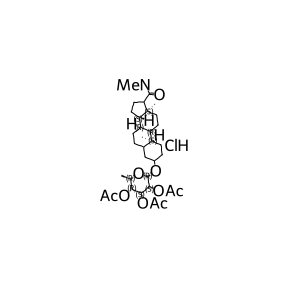 CNC(=O)C1CC[C@H]2[C@@H]3CCC4CC(O[C@@H]5O[C@H](C)[C@@H](OC(C)=O)[C@H](OC(C)=O)[C@@H]5OC(C)=O)CC[C@]4(C)[C@@H]3CC[C@]12C.Cl